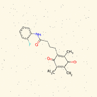 CC1=C(C)C(=O)C(CCCC(=O)Nc2ccccc2F)=C(C)C1=O